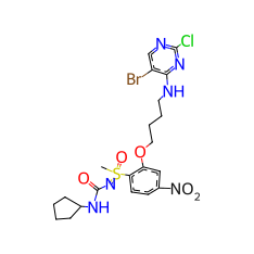 CS(=O)(=NC(=O)NC1CCCC1)c1ccc([N+](=O)[O-])cc1OCCCCNc1nc(Cl)ncc1Br